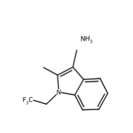 Cc1c(C)n(CC(F)(F)F)c2ccccc12.N